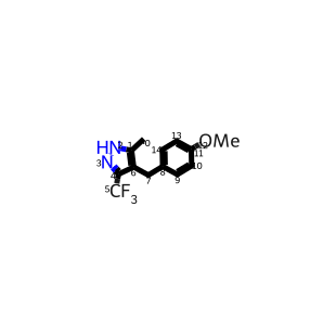 [CH2]c1[nH]nc(C(F)(F)F)c1Cc1ccc(OC)cc1